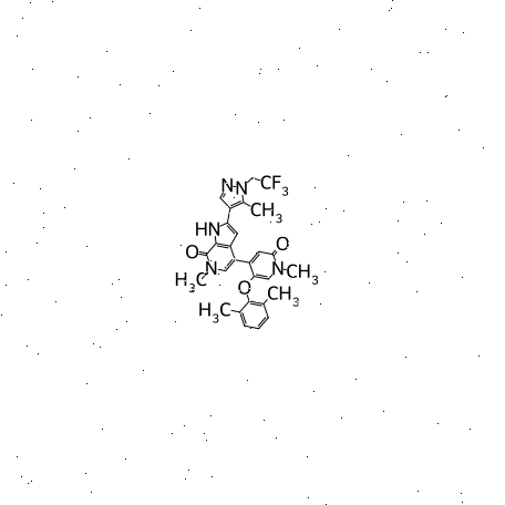 Cc1cccc(C)c1Oc1cn(C)c(=O)cc1-c1cn(C)c(=O)c2[nH]c(-c3cnn(CC(F)(F)F)c3C)cc12